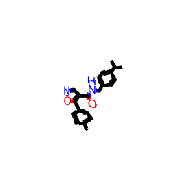 Cc1ccc(-c2oncc2C(=O)NCc2ccc(C(C)C)cc2)cc1